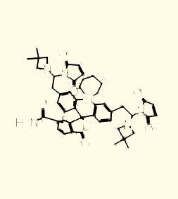 CC1(C)CN(C(Cc2ccc3c(c2)[Si]2(CCCCC2)c2cc(CC(N4CC(C)(C)C4)N4C(=O)C=CC4=O)ccc2C32OC(=O)c3ccc(C(N)=O)cc32)N2C(=O)C=CC2=O)C1